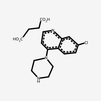 Clc1ccc2c(N3CCNCC3)ccnc2c1.O=C(O)CCC(=O)O